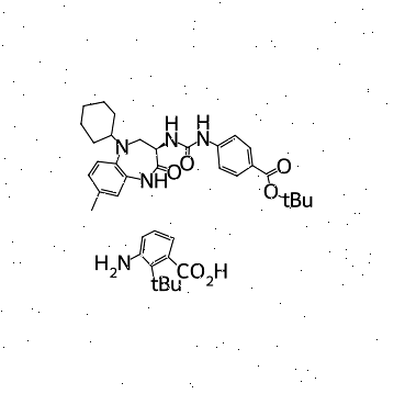 CC(C)(C)c1c(N)cccc1C(=O)O.Cc1ccc2c(c1)NC(=O)[C@H](NC(=O)Nc1ccc(C(=O)OC(C)(C)C)cc1)CN2C1CCCCC1